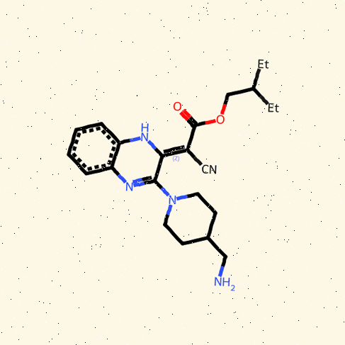 CCC(CC)COC(=O)/C(C#N)=C1\Nc2ccccc2N=C1N1CCC(CN)CC1